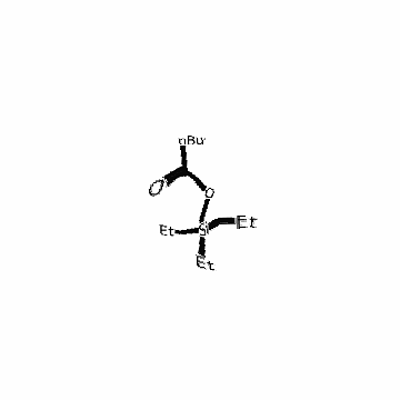 CCC[CH]C(=O)O[Si](CC)(CC)CC